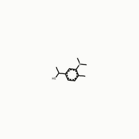 Cc1ccc(C(C)S)cc1N(C)C